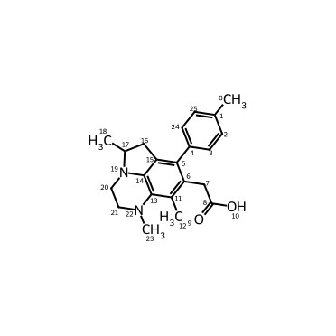 Cc1ccc(-c2c(CC(=O)O)c(C)c3c4c2CC(C)N4CCN3C)cc1